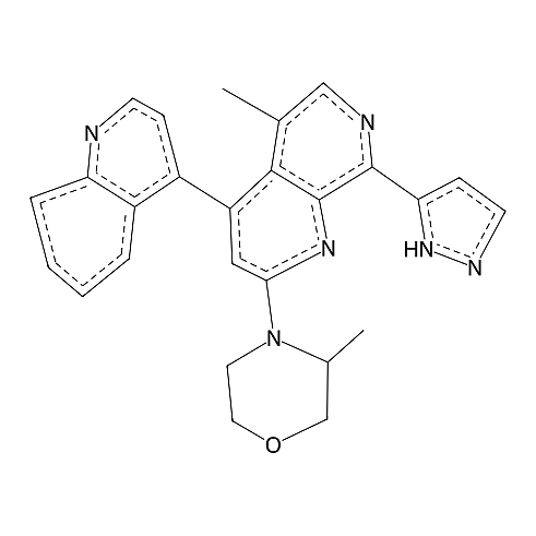 Cc1cnc(-c2ccn[nH]2)c2nc(N3CCOCC3C)cc(-c3ccnc4ccccc34)c12